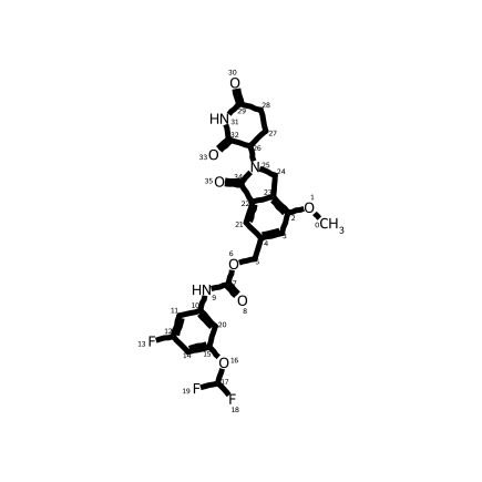 COc1cc(COC(=O)Nc2cc(F)cc(OC(F)F)c2)cc2c1CN(C1CCC(=O)NC1=O)C2=O